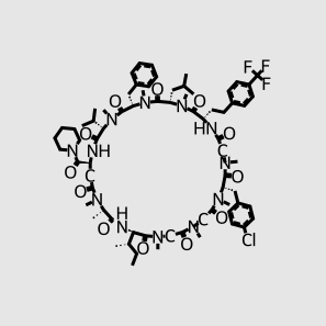 CC[C@H](C)[C@@H]1NC(=O)[C@H](C)N(C)C(=O)C[C@@H](C(=O)N2CCCCC2)NC(=O)[C@H](C(C)C)N(C)C(=O)[C@H](Cc2ccccc2)N(C)C(=O)[C@H](CC(C)C)N(C)C(=O)[C@H](CCc2ccc(C(F)(F)F)cc2)NC(=O)CN(C)C(=O)[C@H](Cc2ccc(Cl)cc2)N(C)C(=O)CN(C)C(=O)CN(C)C1=O